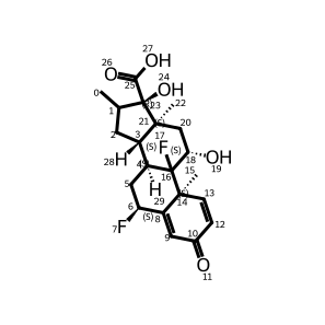 CC1C[C@H]2[C@@H]3C[C@H](F)C4=CC(=O)C=C[C@]4(C)C3(F)[C@@H](O)C[C@]2(C)[C@@]1(O)C(=O)O